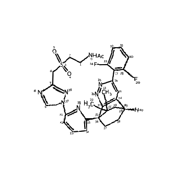 CC(=O)NCCS(=O)(=O)Cc1ncn(-c2cccc([C@]34CC[C@H](CC3(C)C)c3cc(-c5c(F)cccc5F)nnc34)n2)n1